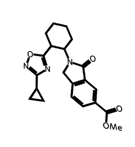 COC(=O)c1ccc2c(c1)C(=O)N(C1CCCCC1c1nc(C3CC3)no1)C2